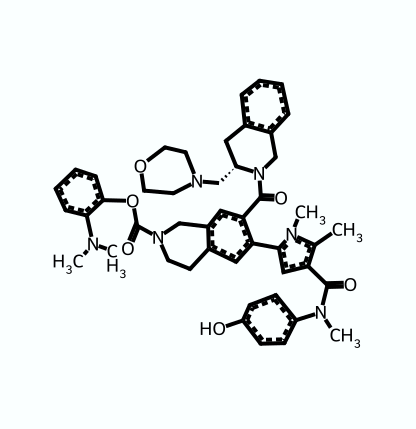 Cc1c(C(=O)N(C)c2ccc(O)cc2)cc(-c2cc3c(cc2C(=O)N2Cc4ccccc4C[C@H]2CN2CCOCC2)CN(C(=O)Oc2ccccc2N(C)C)CC3)n1C